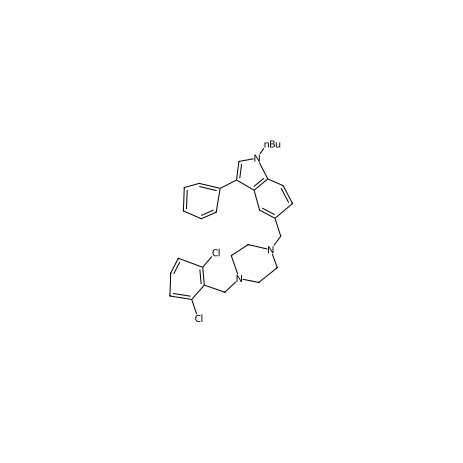 CCCCn1cc(-c2ccccc2)c2cc(CN3CCN(Cc4c(Cl)cccc4Cl)CC3)ccc21